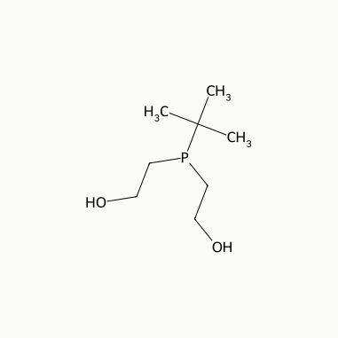 CC(C)(C)P(CCO)CCO